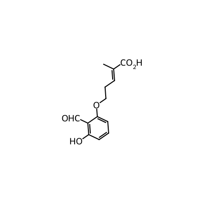 CC(=CCCOc1cccc(O)c1C=O)C(=O)O